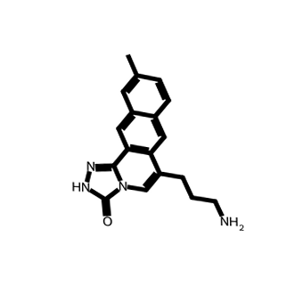 Cc1ccc2cc3c(CCCN)cn4c(=O)[nH]nc4c3cc2c1